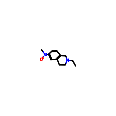 CCN1CCc2cc([NH+](C)[O-])ccc2C1